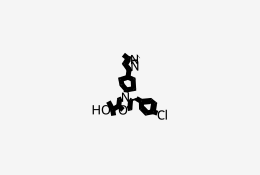 Cc1cc(C2CCC(N3CC(C(C)(C)O)OC[C@@H]3Cc3ccc(Cl)cc3)CC2)nn1C